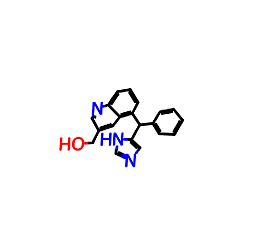 OCc1cnc2cccc(C(c3ccccc3)c3cnc[nH]3)c2c1